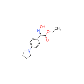 CCOC(=O)/C(=N\O)c1ccc(N2CCCC2)cc1